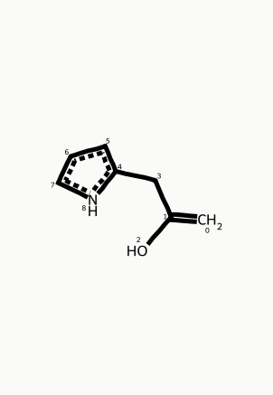 C=C(O)Cc1ccc[nH]1